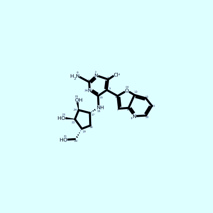 Nc1nc(Cl)c(-c2cc3ncccc3o2)c(N[C@@H]2C[C@H](CO)[C@@H](O)[C@H]2O)n1